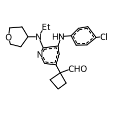 CCN(c1ncc(C2(C=O)CCC2)cc1Nc1ccc(Cl)cc1)C1CCOCC1